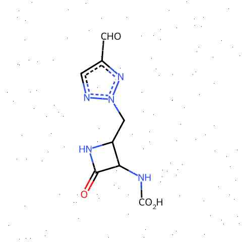 O=Cc1cnn(CC2NC(=O)C2NC(=O)O)n1